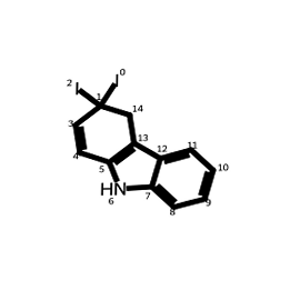 IC1(I)C=Cc2[nH]c3ccccc3c2C1